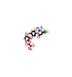 COC(=O)[C@@H](OC)Oc1ncccc1Oc1cc(-n2c(=O)cc(C(F)(F)F)n(C)c2=O)c(F)cc1Br